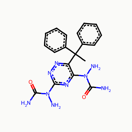 CC(c1ccccc1)(c1ccccc1)c1nnc(N(N)C(N)=O)nc1N(N)C(N)=O